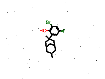 CC1CC2CC(C1)CC(C)(c1cc(F)cc(Br)c1O)C2